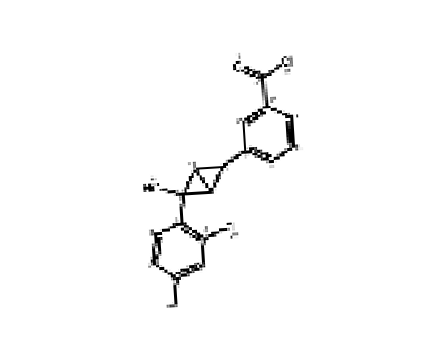 Cc1ccc(C2(O)C3C(c4cccc(C(=O)O)c4)C32)c(Cl)c1